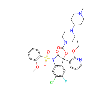 CCOc1ncccc1C1(OC(=O)N2CCN(C3CCN(C)CC3)CC2)C(=O)N(S(=O)(=O)c2ccccc2OC)c2cc(Cl)c(F)cc21